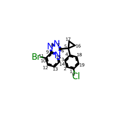 Clc1ccc(C2(c3nnc4c(Br)cccn34)CC2)cc1